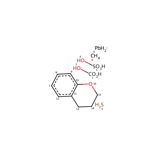 C.O=C(O)O.O=S(=O)(O)O.S.[PbH2].c1ccc2c(c1)CCCO2